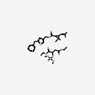 CC(C)=CC1C(C(=O)OCc2coc(Cc3ccccc3)c2)C1(C)C.CCOC(=O)CC(SP(=S)(OC)OC)C(=O)OCC